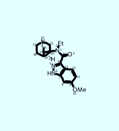 CCN(C(=O)c1n[nH]c2cc(OC)ccc12)[C@@H]1CN2CCC1CC2